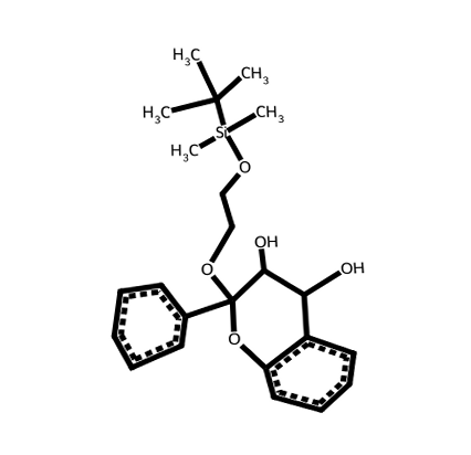 CC(C)(C)[Si](C)(C)OCCOC1(c2ccccc2)Oc2ccccc2C(O)C1O